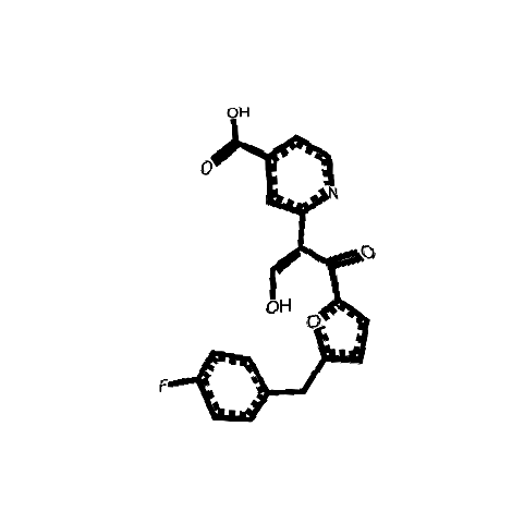 O=C(O)c1ccnc(C(=CO)C(=O)c2ccc(Cc3ccc(F)cc3)o2)c1